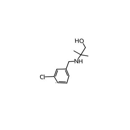 CC(C)(CO)NCc1cc[c]c(Cl)c1